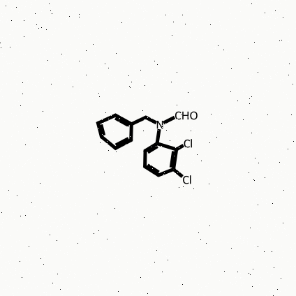 O=CN(Cc1ccccc1)c1cccc(Cl)c1Cl